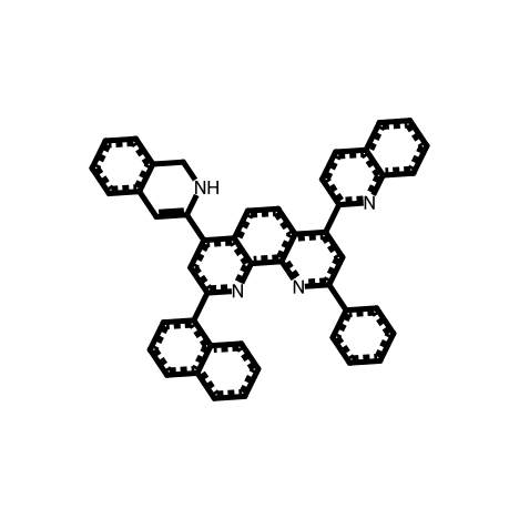 C1=C(c2cc(-c3cccc4ccccc34)nc3c2ccc2c(-c4ccc5ccccc5n4)cc(-c4ccccc4)nc23)NCc2ccccc21